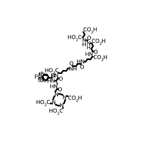 CC(C)(C)[Si](F)(c1ccc(C(=O)N[C@H](CNC(=O)CN2CCN(CC(=O)O)CCN(CC(=O)O)CCN(CC(=O)O)CC2)C(=O)N[C@H](CCCCNC(=O)CCC(=O)NCCC[C@@H](NC(=O)CC[C@H](NC(=O)N[C@@H](CCC(=O)O)C(=O)O)C(=O)O)C(=O)O)C(=O)O)cc1)C(C)(C)C